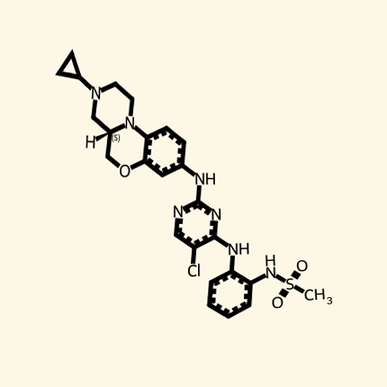 CS(=O)(=O)Nc1ccccc1Nc1nc(Nc2ccc3c(c2)OC[C@@H]2CN(C4CC4)CCN32)ncc1Cl